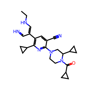 CCN/C=C(\C=N)c1cc(C#N)c(N2CCN(C(=O)C3CC3)C(C3CC3)C2)nc1C1CC1